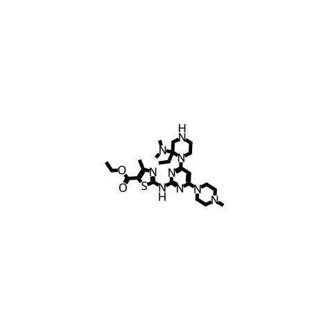 CCOC(=O)c1sc(Nc2nc(N3CCN(C)CC3)cc(N3CCNCC3(CC)N(C)C)n2)nc1C